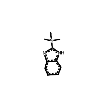 C[Si](C)(C)c1nc2ccccc2[nH]1